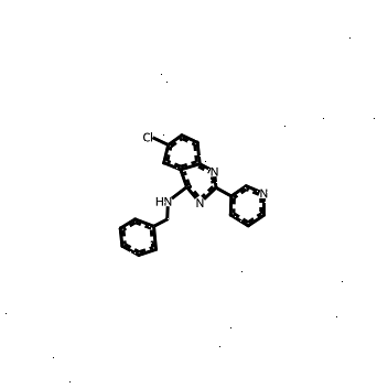 Clc1ccc2nc(-c3cccnc3)nc(NCc3ccccc3)c2c1